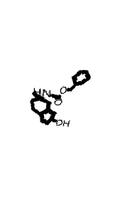 CC1(NC(=O)OCc2ccccc2)CCc2ccc(O)cc2C1